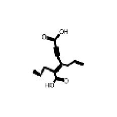 C=CC/C(C#CC(=O)O)=C(/CC=C)C(=O)O